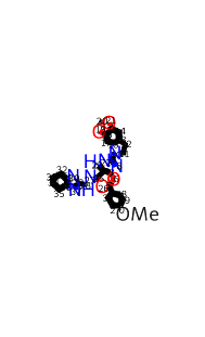 COc1ccc(COc2nc(N3CCc4cc5c(cc43)OCO5)ncc2C(=O)NCc2nc3ccccc3[nH]2)cc1